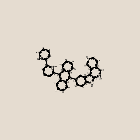 c1ccc(-c2cccc(-c3c4ccccc4c(-c4ccc5oc6ncc7ccncc7c6c5c4)c4ccccc34)n2)nc1